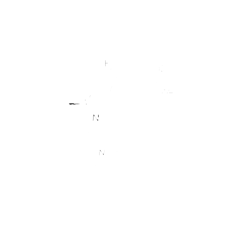 CC[C@H]1Cc2c(F)cc(C(=O)O)cc2CN1CC1CC2CCC(C1)N2C